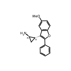 COc1ccc2oc(-c3ccccc3)c([C@@H]3C[C@H]3N)c2c1